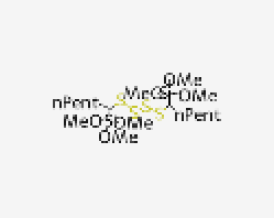 CCCCCC(SSSSC(CCCCC)[Si](OC)(OC)OC)[Si](OC)(OC)OC